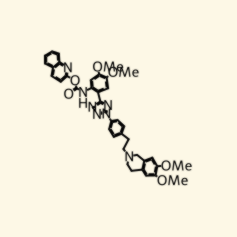 COc1cc2c(cc1OC)CN(CCc1ccc(-n3nnc(-c4cc(OC)c(OC)cc4NC(=O)Oc4ccc5ccccc5n4)n3)cc1)CC2